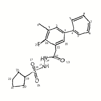 Cc1cc(-c2ccccc2)cc(C(=O)NNS(=O)(=O)C2CCCC2)c1F